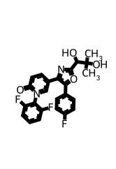 CC(C)(O)C(O)c1nc(-c2ccc(=O)n(-c3c(F)cccc3F)c2)c(-c2ccc(F)cc2)o1